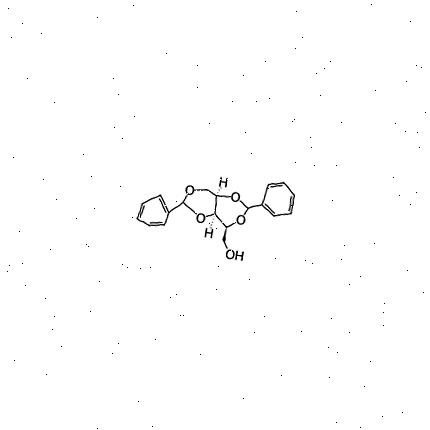 OC[C@@H]1OC(c2ccccc2)O[C@@H]2COC(c3ccccc3)O[C@H]12